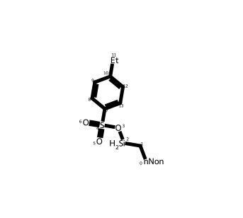 CCCCCCCCCC[SiH2]OS(=O)(=O)c1ccc(CC)cc1